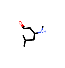 CNC(CC=O)CC(C)C